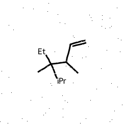 C=CC(C)C(C)(CC)C(C)C